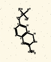 NC1=Nc2ccc(OC(F)(F)F)cc2CS1